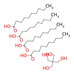 CCCCCCCCCC(=O)O.CCCCCCCCCC(=O)O.CCCCCCCCCC(=O)O.CCCCCCCCCC(=O)O.OCC(CO)(CO)CO